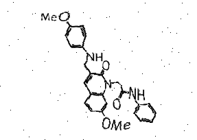 COc1ccc(NCc2cc3ccc(OC)cc3n(CC(=O)Nc3ccccc3)c2=O)cc1